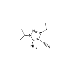 CCc1nn(C(C)C)c(N)c1C#N